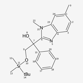 Cc1ccc2nc(C(O)(CO[Si](C)(C)C(C)(C)C)c3ccccc3)n(C)c2c1